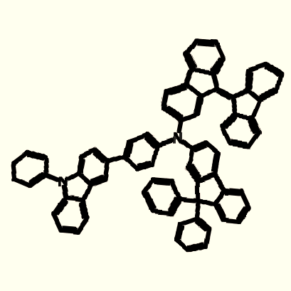 C1=CC(n2c3ccccc3c3cc(-c4ccc(N(c5ccc6c(c5)C(=C5c7ccccc7-c7ccccc75)c5ccccc5-6)c5ccc6c(c5)C(c5ccccc5)(c5ccccc5)c5ccccc5-6)cc4)ccc32)=CCC1